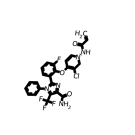 C=CC(=O)NN1C=CC(Oc2c(F)cccc2-c2nc(C(N)=O)c(C(F)(F)F)n2-c2ccccc2)=C(Cl)C1